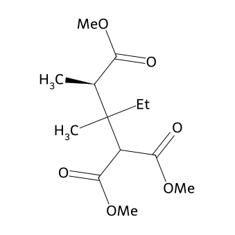 CCC(C)(C(C(=O)OC)C(=O)OC)[C@@H](C)C(=O)OC